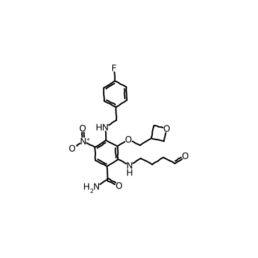 NC(=O)c1cc([N+](=O)[O-])c(NCc2ccc(F)cc2)c(OCC2COC2)c1NCCCC=O